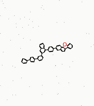 c1ccc(-c2ccc(-c3cccc(-c4cc(-c5ccc(-c6ccc7c(ccc8c9ccccc9oc78)c6)cc5)c5ccccc5c4)c3)cc2)cc1